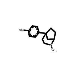 CN1CCC2(c3ccc(O)cc3)CCC1C2